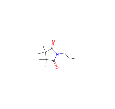 CCCN1C(=O)C(C)(C)C(C)(C)C1=O